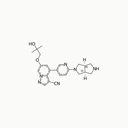 CC(C)(O)COc1cc(-c2ccc(N3C[C@H]4CNC[C@H]4C3)nc2)c2c(C#N)cnn2c1